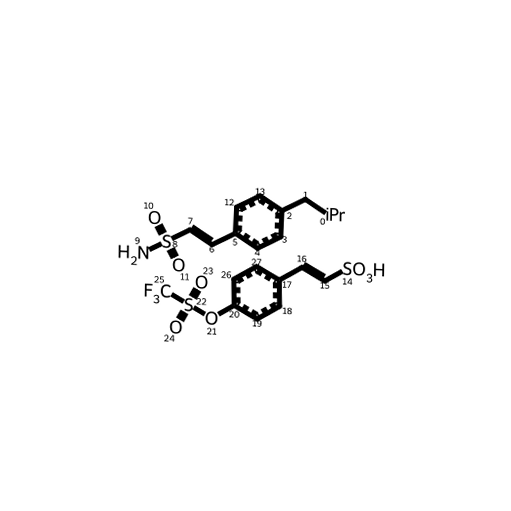 CC(C)Cc1ccc(/C=C/S(N)(=O)=O)cc1.O=S(=O)(O)/C=C/c1ccc(OS(=O)(=O)C(F)(F)F)cc1